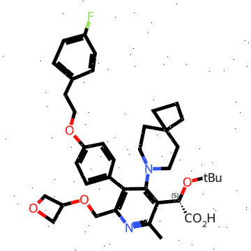 Cc1nc(COC2COC2)c(-c2ccc(OCCc3ccc(F)cc3)cc2)c(N2CCC3(CCC3)CC2)c1[C@H](OC(C)(C)C)C(=O)O